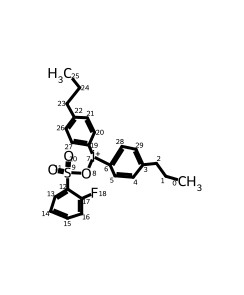 CCCc1ccc([I+](OS(=O)(=O)c2ccccc2F)c2ccc(CCC)cc2)cc1